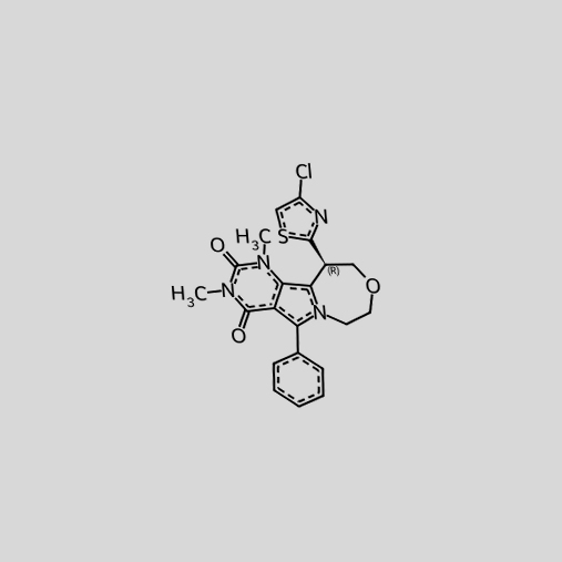 Cn1c(=O)c2c(-c3ccccc3)n3c(c2n(C)c1=O)[C@@H](c1nc(Cl)cs1)COCC3